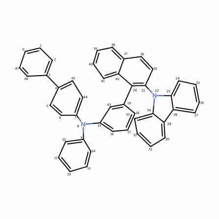 c1ccc(-c2ccc(N(c3ccccc3)c3cccc(-c4c(-n5c6ccccc6c6ccccc65)ccc5ccccc45)c3)cc2)cc1